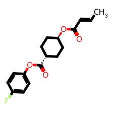 CC=CC(=O)O[C@H]1CC[C@H](C(=O)Oc2ccc(F)cc2)CC1